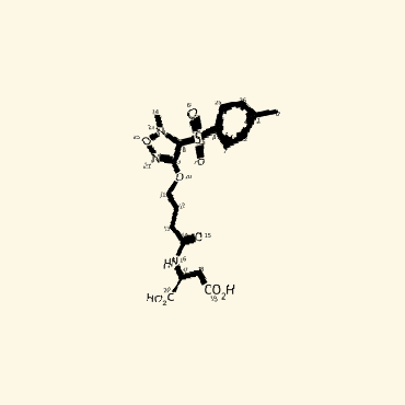 Cc1ccc(S(=O)(=O)C2C(OCCCC(=O)N[C@@H](CC(=O)O)C(=O)O)=NON2C)cc1